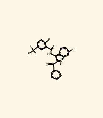 O=C(Nc1c(C(=O)c2ccccc2)[nH]c2cc(Cl)ccc12)c1cc(C(F)(F)F)ccc1F